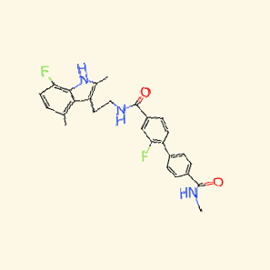 CNC(=O)c1ccc(-c2ccc(C(=O)NCCc3c(C)[nH]c4c(F)ccc(C)c34)cc2F)cc1